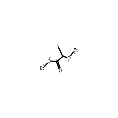 CCOC(=O)C(I)OCC